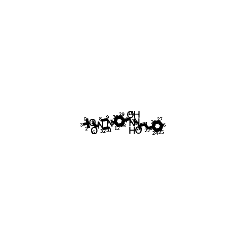 CC(C)(C)OC(=O)N1CCN(c2ccc(C(=O)NNC(=O)CCc3ccccc3)cc2)CC1